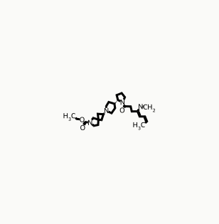 C=N/C(=C\C=C/C)CCC(=O)N1CCC[C@H]1C1CCN(C2CC3(CCN(C(=O)OCC)C3)C2)CC1